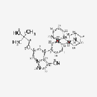 CC(C)(O)COc1cc(-c2ccc(N3CC4CC(C3)N4Cc3cccnc3)nc2)c2c(C#N)cnn2c1